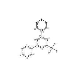 C[Si](C)(C)c1cc(-c2ccccc2)nc(-c2ccccc2)n1